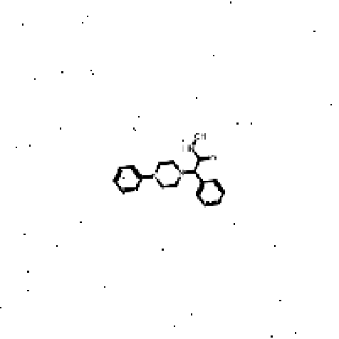 O=C(NO)C(c1ccccc1)N1CCN(c2ccccc2)CC1